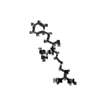 NC(N)=NCCCCNC(=O)/C=C/c1ccccc1.O=S(=O)(O)O